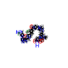 CNc1cc(=O)n(-c2ccnc3c2cc([C@H](C)N2CC=C(c4c(C)cc(C(=O)N5CCC(CN6CCN(Cc7ccc8c(c7)n(C7CC7)c(=O)n8C7CCC(=O)NC7=O)C[C@@H]6C)CC5)cc4F)CC2)n3C)cc1F